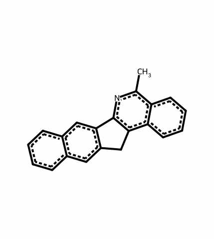 Cc1nc2c(c3ccccc13)Cc1cc3ccccc3cc1-2